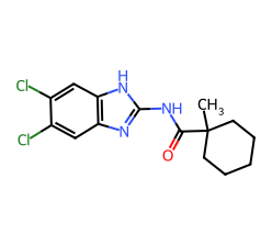 CC1(C(=O)Nc2nc3cc(Cl)c(Cl)cc3[nH]2)CCCCC1